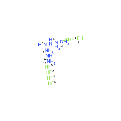 F.F.F.F.F.F.F.N.N.N.N.N.N.N